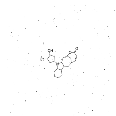 CC[C@H]1C[C@@H](N2C3CCCCC3C3CC4C=CC(=O)OC(C4)CC32)CC1O